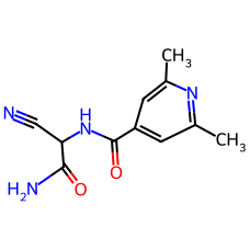 Cc1cc(C(=O)NC(C#N)C(N)=O)cc(C)n1